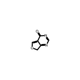 O=C1N=CN=C2COC=C12